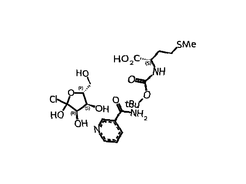 CSCC[C@H](NC(=O)OC(C)(C)C)C(=O)O.NC(=O)c1cccnc1.OC[C@H]1OC(O)(Cl)[C@H](O)[C@@H]1O